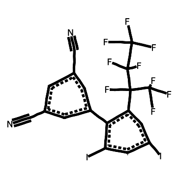 N#Cc1cc(C#N)cc(-c2c(I)[c]c(I)cc2C(F)(C(F)(F)F)C(F)(F)C(F)(F)F)c1